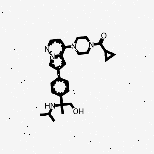 CC(C)NC(C)(CO)c1ccc(-c2cc3c(N4CCN(C(=O)C5CC5)CC4)ccnn3c2)cc1